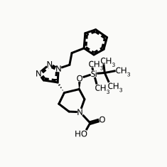 CC(C)(C)[Si](C)(C)O[C@H]1CN(C(=O)O)CC[C@@H]1c1cnnn1CCc1ccccc1